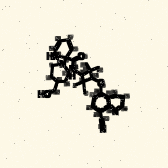 CC1(C)C(NC(=O)C2(N3CCC(CO)CC3)C=CC=CN2)C(C)(C)C1Oc1ccc(C#N)c2ncccc12